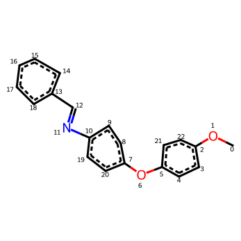 COc1ccc(Oc2ccc(N=Cc3ccccc3)cc2)cc1